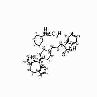 O=S(=O)(O)NC1CCCCC1.O=c1[nH]c2ccccc2n1CCCN1CCC(=C2c3sccc3CCn3ccnc32)CC1